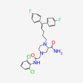 NC(=O)C1CN(CC(=O)Nc2c(Cl)cccc2Cl)CCN1CCCC=C(c1ccc(F)cc1)c1ccc(F)cc1